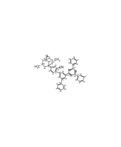 C[C@@H]1C[C@@H]2C[C@H](C)CC(c3ccc(-c4cc(-c5ccccc5)cc(-c5nc(-c6ccccc6)nc(-c6ccccc6)n5)c4)c(C#N)c3)(C1)C2